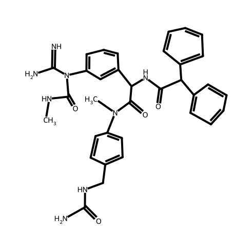 CNC(=O)N(C(=N)N)c1cccc(C(NC(=O)C(c2ccccc2)c2ccccc2)C(=O)N(C)c2ccc(CNC(N)=O)cc2)c1